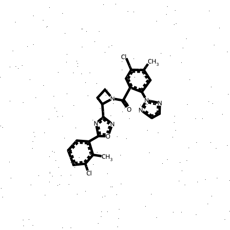 Cc1cc(-n2nccn2)c(C(=O)N2CCC2c2noc(-c3cccc(Cl)c3C)n2)cc1Cl